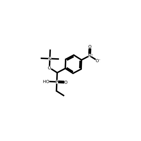 CCP(=O)(O)C(O[Si](C)(C)C)c1ccc([N+](=O)[O-])cc1